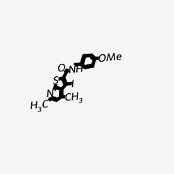 COc1ccc(CNC(=O)c2sc3nc(C)cc(C)c3c2I)cc1